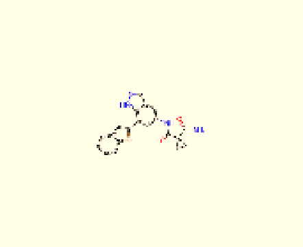 NC(=O)C1(C(=O)Nc2cc(-c3cc4ccccc4s3)c3[nH]ncc3c2)CC1